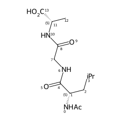 CC(=O)N[C@@H](CC(C)C)C(=O)NCC(=O)N[C@@H](C)C(=O)O